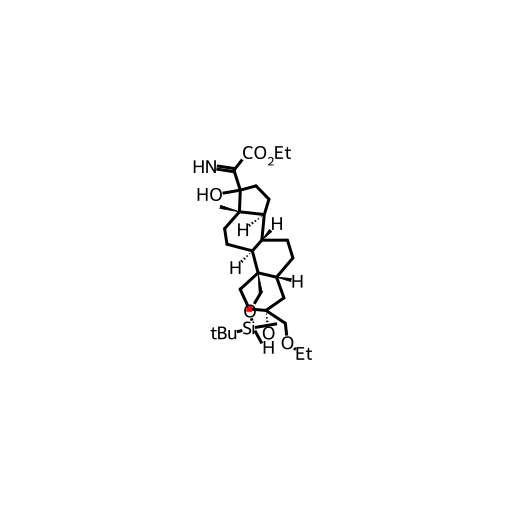 CCOC[C@@]1(O)CC[C@@]2(CO[Si](C)(C)C(C)(C)C)[C@H](CC[C@@H]3[C@@H]2CC[C@@]2(C)[C@H]3CCC2(O)C(=N)C(=O)OCC)C1